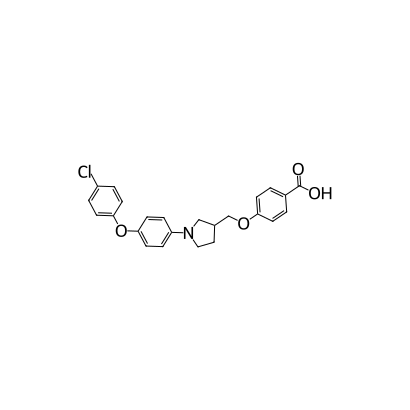 O=C(O)c1ccc(OCC2CCN(c3ccc(Oc4ccc(Cl)cc4)cc3)C2)cc1